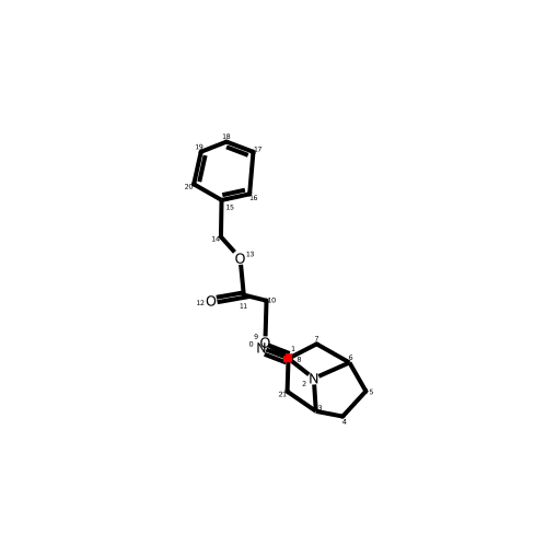 N#CN1C2CCC1CC(OCC(=O)OCc1ccccc1)C2